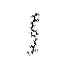 NNC(=O)C=CCN1CCN(CC=CC(=O)NN)CC1